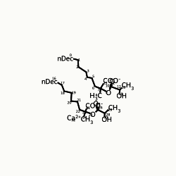 CCCCCCCCCCCCCCCCC(C)(OC(=O)C(C)O)C(=O)[O-].CCCCCCCCCCCCCCCCC(C)(OC(=O)C(C)O)C(=O)[O-].[Ca+2]